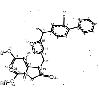 CC(c1ccc(-c2ccccc2)c(F)c1)c1cc(CN2C(=O)CN(C(=O)OC(C)(C)C)C2=NC(=O)OC(C)(C)C)no1